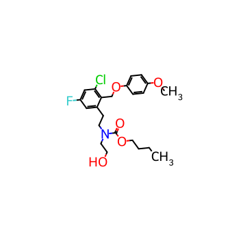 CCCCOC(=O)N(CCO)CCc1cc(F)cc(Cl)c1COc1ccc(OC)cc1